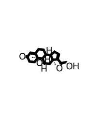 C[C@]12CCC(=O)C=C1CC[C@H]1[C@@H]3CC=C(C(=O)CO)[C@@]3(C)C[C@@H]3O[C@@]312